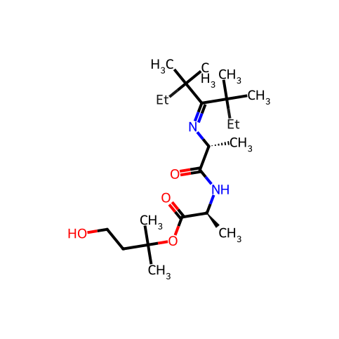 CCC(C)(C)C(=N[C@H](C)C(=O)N[C@@H](C)C(=O)OC(C)(C)CCO)C(C)(C)CC